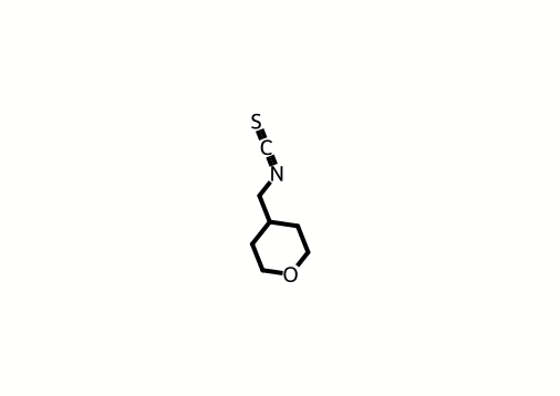 S=C=NCC1CCOCC1